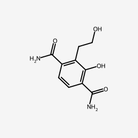 NC(=O)c1ccc(C(N)=O)c(CCO)c1O